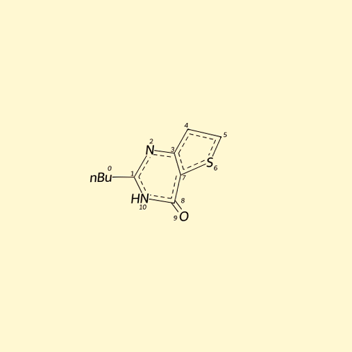 CCCCc1nc2ccsc2c(=O)[nH]1